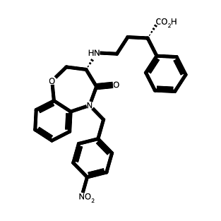 O=C(O)[C@@H](CCN[C@H]1COc2ccccc2N(Cc2ccc([N+](=O)[O-])cc2)C1=O)c1ccccc1